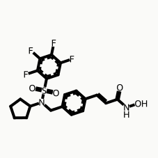 O=C(/C=C/c1ccc(CN(C2CCCC2)S(=O)(=O)c2cc(F)c(F)c(F)c2F)cc1)NO